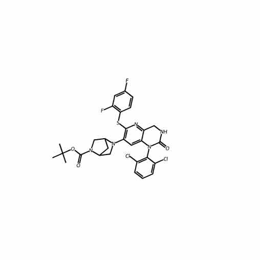 CC(C)(C)OC(=O)N1CC2CC1CN2c1cc2c(nc1Sc1ccc(F)cc1F)CNC(=O)N2c1c(Cl)cccc1Cl